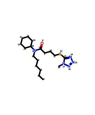 CCCCCCN(C(=O)CCCSc1nnnn1C)C1CCCCC1